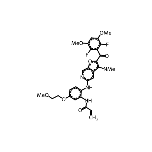 C=CC(=O)Nc1cc(OCCOC)ccc1Nc1cc2c(NC)c(C(=O)c3c(F)c(OC)cc(OC)c3F)oc2cn1